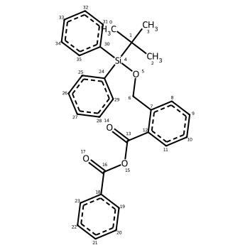 CC(C)(C)[Si](OCc1ccccc1C(=O)OC(=O)c1ccccc1)(c1ccccc1)c1ccccc1